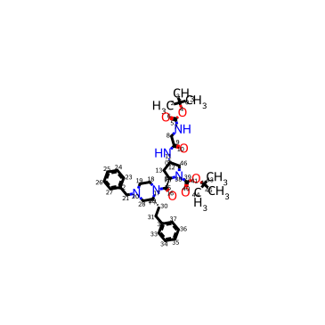 CC(C)(C)OC(=O)NCC(=O)N[C@H]1C[C@H](C(=O)N2CCN(Cc3ccccc3)C[C@H]2CCc2ccccc2)N(C(=O)OC(C)(C)C)C1